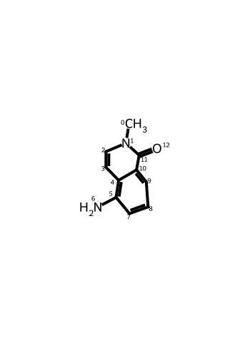 Cn1ccc2c(N)cccc2c1=O